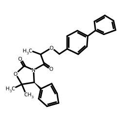 CC(OCc1ccc(-c2ccccc2)cc1)C(=O)N1C(=O)OC(C)(C)[C@@H]1c1ccccc1